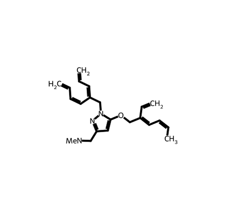 C=C/C=C\C(=C/C=C)Cn1nc(CNC)cc1OC/C(C=C)=C/C=C\C